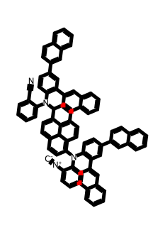 [C-]#[N+]c1ccccc1N(C1=C2C=CC3=C4C(=CC=C(C=C1)C24)C(N(c1ccccc1C#N)c1ccc(-c2ccc4ccccc4c2)cc1-c1ccc2ccccc2c1)C=C3)c1ccc(-c2ccc3ccccc3c2)cc1-c1ccc2ccccc2c1